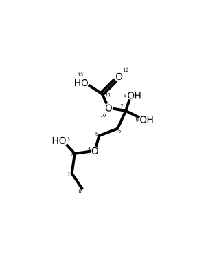 CCC(O)OCCC(O)(O)OC(=O)O